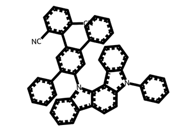 N#Cc1cccc(C#N)c1-c1cc(-c2ccccc2)c(-n2c3ccccc3c3ccc4c(c5ccccc5n4-c4ccccc4)c32)cc1-c1ccccc1